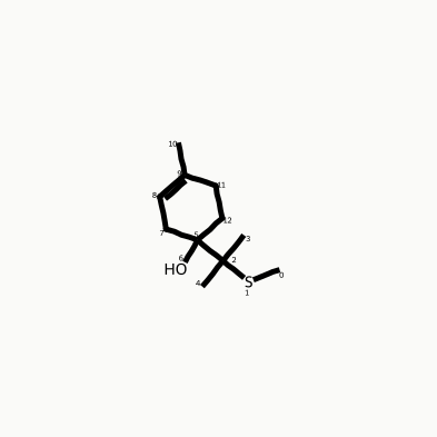 CSC(C)(C)C1(O)CC=C(C)CC1